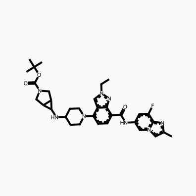 CCn1cc2c(N3CCC(NC4C5CN(C(=O)OC(C)(C)C)CC54)CC3)ccc(C(=O)Nc3cc(F)c4nc(C)cn4c3)c2n1